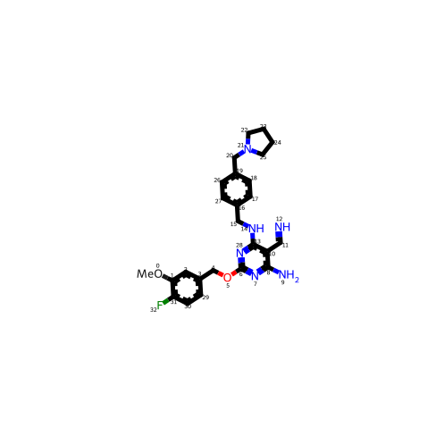 COc1cc(COc2nc(N)c(C=N)c(NCc3ccc(CN4CCCC4)cc3)n2)ccc1F